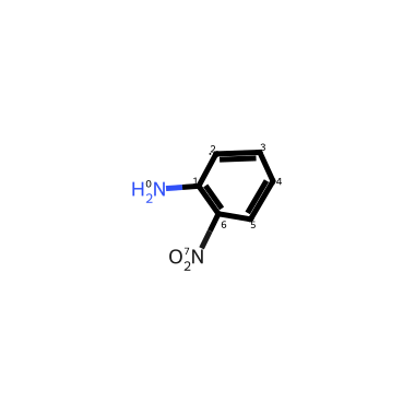 Nc1[c]cccc1[N+](=O)[O-]